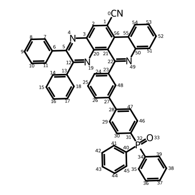 N#Cc1cc2nc(-c3ccccc3)c(-c3ccccc3)nc2c2c(-c3cccc(-c4ccc(P(=O)(c5ccccc5)c5ccccc5)cc4)c3)nc3ccccc3c12